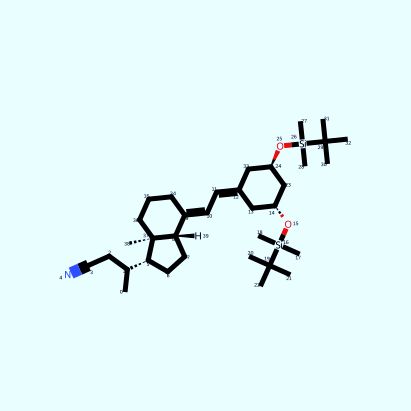 CC(CC#N)[C@H]1CC[C@H]2/C(=C/C=C3C[C@@H](O[Si](C)(C)C(C)(C)C)C[C@H](O[Si](C)(C)C(C)(C)C)C3)CCC[C@]12C